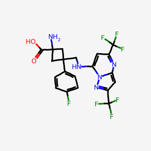 NC1(C(=O)O)CC(CNc2cc(C(F)(F)F)nc3cc(C(F)(F)F)nn23)(c2ccc(F)cc2)C1